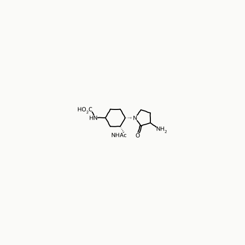 CC(=O)N[C@@H]1CC(NC(=O)O)CC[C@@H]1N1CCC(N)C1=O